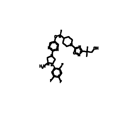 C[C@H](Oc1cnc(N2C[C@H](c3cc(F)c(F)cc3F)[C@@H](N)C2)nc1)C1CCN(c2nc(C(C)(C)CO)no2)CC1